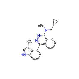 CCCN(CC1CC1)c1nnc(-c2cccc3[nH]cc(C#N)c23)c2ccccc12